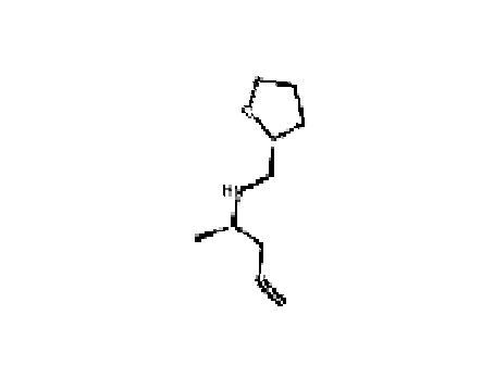 C=CC[C@@H](C)NC[C@@H]1CCCO1